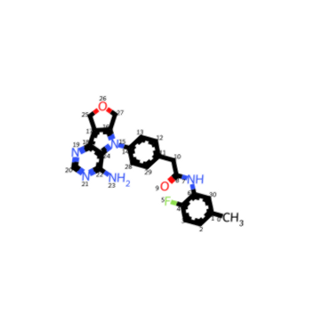 Cc1ccc(F)c(NC(=O)Cc2ccc(-n3c4c(c5ncnc(N)c53)COC4)cc2)c1